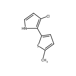 Cc1ccc(-c2[nH]ccc2Cl)s1